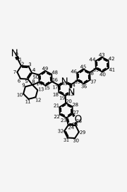 N#CC1=CC2=C(CC1)C1(CCCCC1)c1cc(-c3cc(-c4ccc5c6c(oc5c4)CCC=C6)nc(-c4ccc(-c5ccccc5)cc4)n3)ccc12